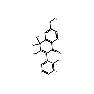 COc1ccc2c(c1)C(C)(C)C(C)=C(c1cccnc1C)C2=O